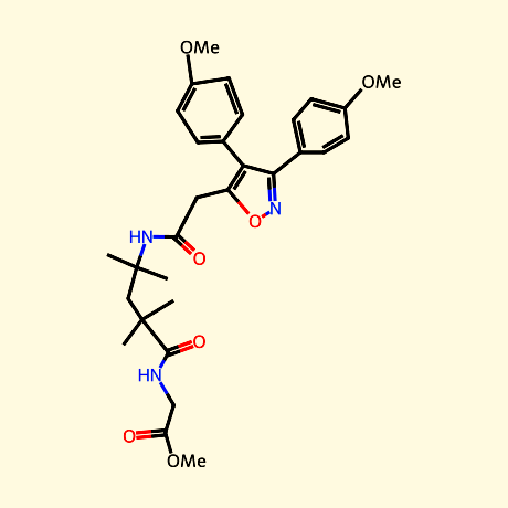 COC(=O)CNC(=O)C(C)(C)CC(C)(C)NC(=O)Cc1onc(-c2ccc(OC)cc2)c1-c1ccc(OC)cc1